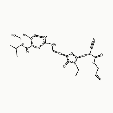 C=CCOC(=O)C(=C=c1sc(=C=CNc2ncc(Br)c(N[C@@H](CO)C(C)C)n2)c(=O)n1CC)C#N